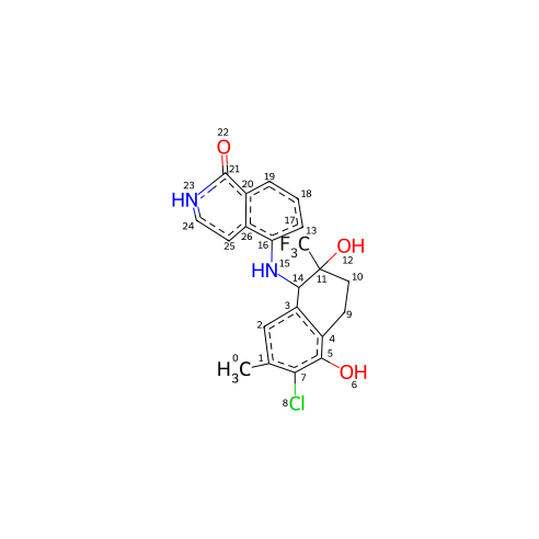 Cc1cc2c(c(O)c1Cl)CCC(O)(C(F)(F)F)C2Nc1cccc2c(=O)[nH]ccc12